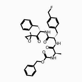 C[C@@H](NC(=O)OCc1ccccc1)C(=O)N[C@@H](Cc1ccc(CF)cc1)C(=O)N[C@@H](Cc1ccccc1)C(=O)[C@@]1(C)CO1